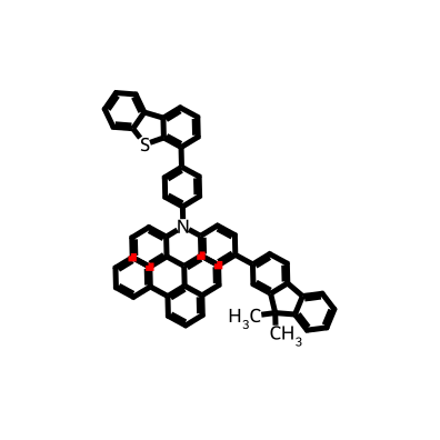 CC1(C)c2ccccc2-c2ccc(-c3ccc(N(c4ccc(-c5cccc6c5sc5ccccc56)cc4)c4ccccc4-c4cccc5cccc(-c6ccccc6)c45)cc3)cc21